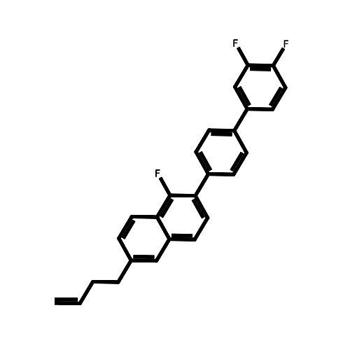 C=CCCc1ccc2c(F)c(-c3ccc(-c4ccc(F)c(F)c4)cc3)ccc2c1